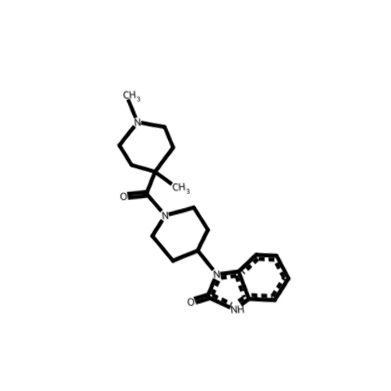 CN1CCC(C)(C(=O)N2CCC(n3c(=O)[nH]c4ccccc43)CC2)CC1